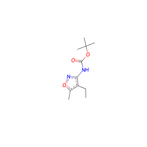 CCc1c(NC(=O)OC(C)(C)C)noc1C